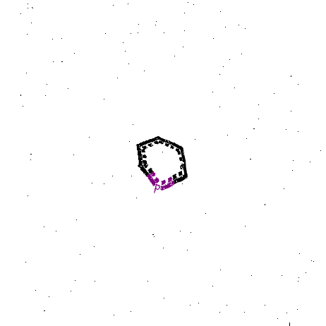 c1ccpcc1